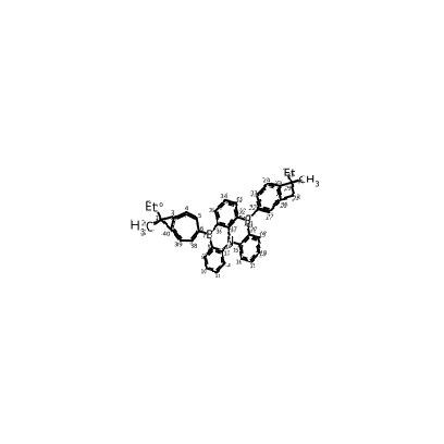 CCC1(C)C2=C=CC(B3c4ccccc4N4c5ccccc5B(c5ccc6c(c5)CC6(C)CC)c5cccc3c54)=CC=C21